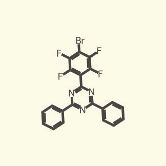 Fc1c(F)c(-c2nc(-c3ccccc3)nc(-c3ccccc3)n2)c(F)c(F)c1Br